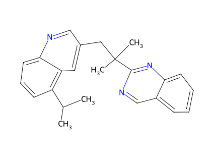 CC(C)c1cccc2ncc(CC(C)(C)c3ncc4ccccc4n3)cc12